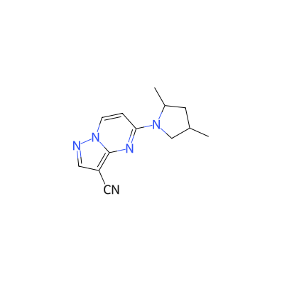 CC1CC(C)N(c2ccn3ncc(C#N)c3n2)C1